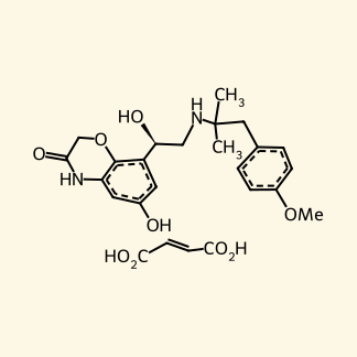 COc1ccc(CC(C)(C)NC[C@H](O)c2cc(O)cc3c2OCC(=O)N3)cc1.O=C(O)/C=C/C(=O)O